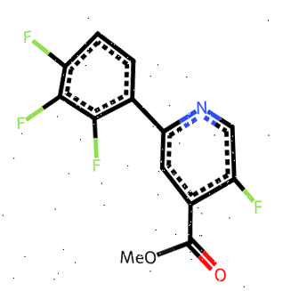 COC(=O)c1cc(-c2ccc(F)c(F)c2F)ncc1F